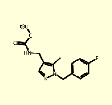 Cc1c(CNC(=O)OC(C)(C)C)cnn1Cc1ccc(F)cc1